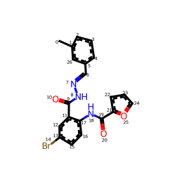 Cc1cccc(C=NNC(=O)c2cc(Br)ccc2NC(=O)c2ccco2)c1